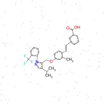 Cc1cc(OCc2c(C(C)C)cnn2-c2ccccc2C(F)(F)F)ccc1/C=C/c1cccc(C(=O)O)c1